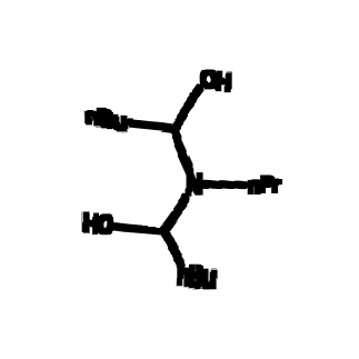 CCCCC(O)N(CCC)C(O)CCCC